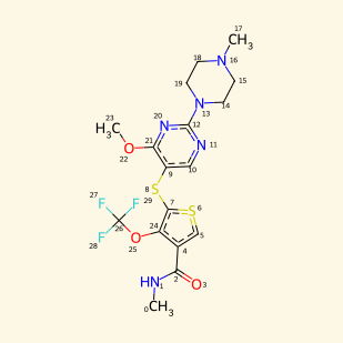 CNC(=O)c1csc(Sc2cnc(N3CCN(C)CC3)nc2OC)c1OC(F)(F)F